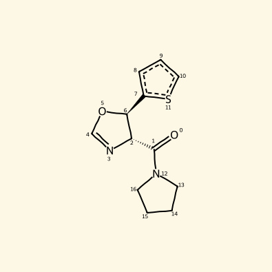 O=C([C@@H]1N=CO[C@H]1c1cccs1)N1CCCC1